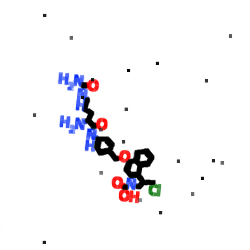 NC(=O)NCCCC(N)C(=O)Nc1ccc(COc2cc3c(c4ccccc24)C(CCl)CN3C(=O)O)cc1